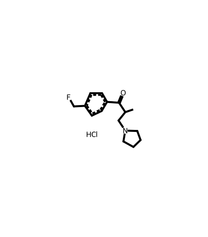 CC(CN1CCCC1)C(=O)c1ccc(CF)cc1.Cl